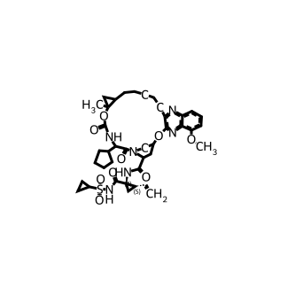 C=C[C@@H]1C[C@]1(NC(=O)C1CC2CN1C(=O)C(C1CCCC1)NC(=O)OC1(C)CC1CCCCCc1nc3cccc(OC)c3nc1O2)C(=O)NS(=O)(=O)C1CC1